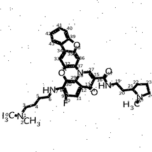 CN(C)CCCCNc1c(F)cc2c(=O)c(C(=O)NCCC3CCCN3C)cn3c2c1Oc1cc2c(cc1-3)oc1ccccc12